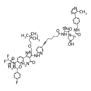 Cc1ncsc1-c1ccc(CNC(=O)[C@@H]2C[C@@H](O)CN2C(=O)C(NC(=O)CCCCC#Cc2ccc(Nc3c(C(N)=O)c(-c4ccc(NS(=O)(=O)C(F)F)c(OC(C)c5ccc(F)cc5)c4)nn3COCC[Si](C)(C)C)nc2)C(C)(C)C)cc1